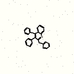 c1ccc(Cc2nc3ccccc3c(-c3ccccc3)c2-c2ccccc2)cc1